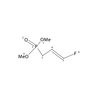 COP(=O)(CC=CF)OC